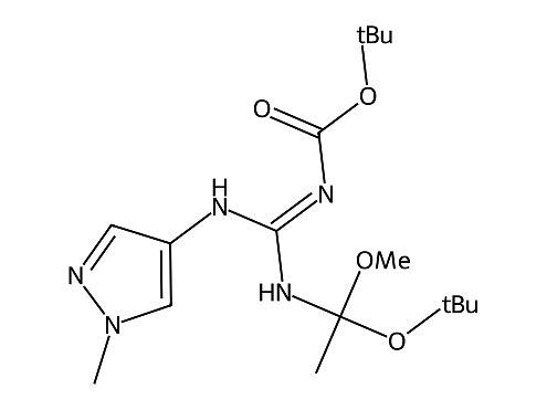 COC(C)(N/C(=N/C(=O)OC(C)(C)C)Nc1cnn(C)c1)OC(C)(C)C